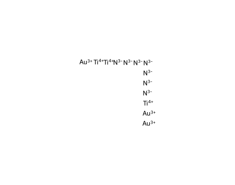 [Au+3].[Au+3].[Au+3].[N-3].[N-3].[N-3].[N-3].[N-3].[N-3].[N-3].[Ti+4].[Ti+4].[Ti+4]